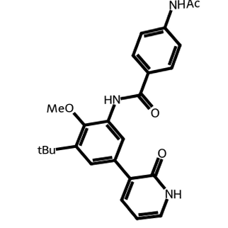 COc1c(NC(=O)c2ccc(NC(C)=O)cc2)cc(-c2ccc[nH]c2=O)cc1C(C)(C)C